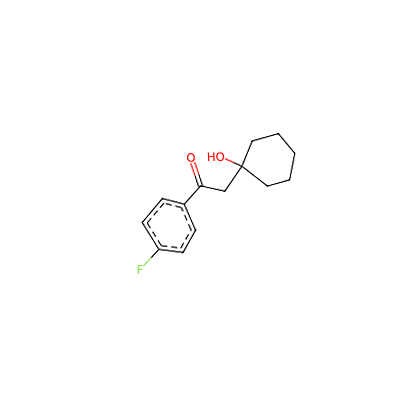 O=C(CC1(O)CCCCC1)c1ccc(F)cc1